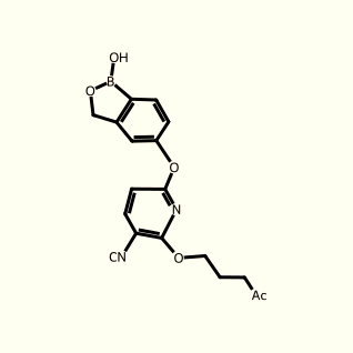 [C-]#[N+]c1ccc(Oc2ccc3c(c2)COB3O)nc1OCCCC(C)=O